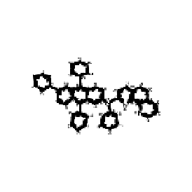 c1ccc(-c2ccc3c(-c4ccccc4)c4cc(N(c5ccccc5)c5ccc6ccc7cccnc7c6n5)ccc4c(-c4ccccc4)c3c2)cc1